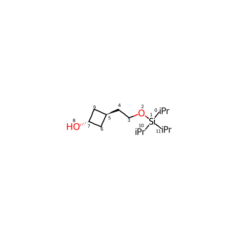 CC(C)[Si](OCC[C@H]1C[C@H](O)C1)(C(C)C)C(C)C